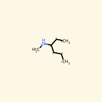 [CH2]NC(CC)CCC